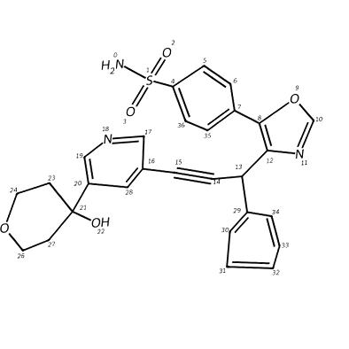 NS(=O)(=O)c1ccc(-c2ocnc2C(C#Cc2cncc(C3(O)CCOCC3)c2)c2ccccc2)cc1